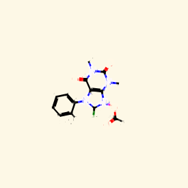 COc1ccccc1N1c2c(n(C)c(=O)n(C)c2=O)N(OC(=O)C(F)(F)F)C1Cl